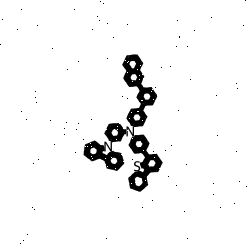 C1=Cc2sc3c(-c4ccc(N(c5ccc(-c6cccc(-c7ccc8ccccc8c7)c6)cc5)c5cccc(-n6c7ccccc7c7ccccc76)c5)cc4)cccc3c2CC1